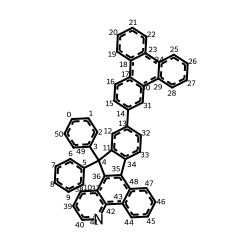 c1ccc(C2(c3ccccc3)c3cc(-c4ccc5c6ccccc6c6ccccc6c5c4)ccc3-c3c2c2cccnc2c2ccccc32)cc1